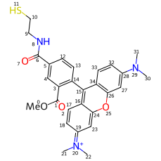 COC(=O)c1cc(C(=O)NCCS)ccc1-c1c2ccc(=[N+](C)C)cc-2oc2cc(N(C)C)ccc12